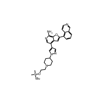 CC(C)(C)[Si](C)(C)OCCN1CCC(n2cc(-c3cnc(N)c4oc(-c5cccc6cnccc56)cc34)cn2)CC1